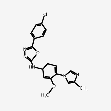 COC1=CC(Nc2nnc(-c3ccc(Cl)cc3)o2)CC=C1n1cnc(C)c1